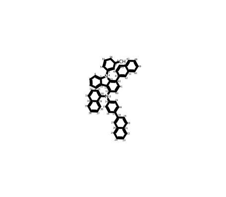 CC1C=C(n2c3ccccc3c3c(N(c4ccc(-c5ccc6ccccc6c5)cc4)c4cccc5ccccc45)ccc(-c4ccc5ccccc5c4)c32)C=CC1